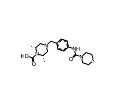 C[C@@H]1CN(Cc2ccc(NC(=O)N3CCSCC3)cc2)C[C@H](C)N1C(=O)O